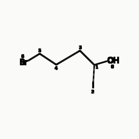 OC(I)CCCBr